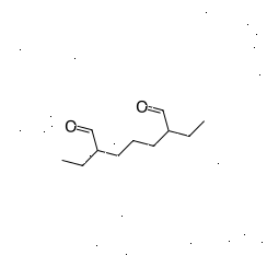 CCC(C=O)CCCC(C=O)CC